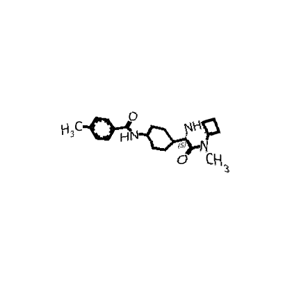 Cc1ccc(C(=O)NC2CCC([C@H](N)C(=O)N(C)C3CCC3)CC2)cc1